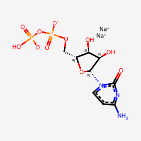 Nc1ccn([C@@H]2O[C@H](COP(=O)([O-])OP(=O)([O-])O)[C@@H](O)[C@H]2O)c(=O)n1.[Na+].[Na+]